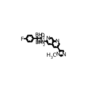 BC(B)(C(=O)Nc1cc2cc(-c3cncn3C)cnc2cn1)c1ccc(F)cc1